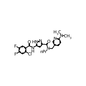 CCCN(Cc1ccc(N(C)C)nc1)C(=O)c1cc(NC(=O)c2cc(F)c(F)cc2Cl)[nH]n1